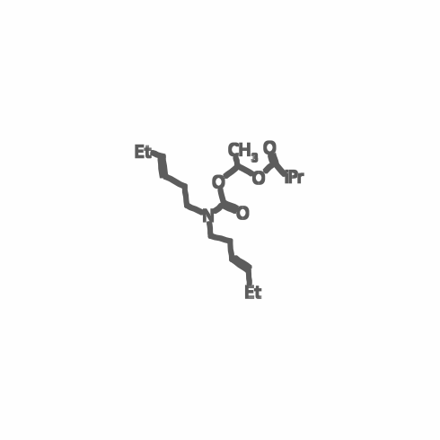 CCC=CCCN(CCC=CCC)C(=O)OC(C)OC(=O)C(C)C